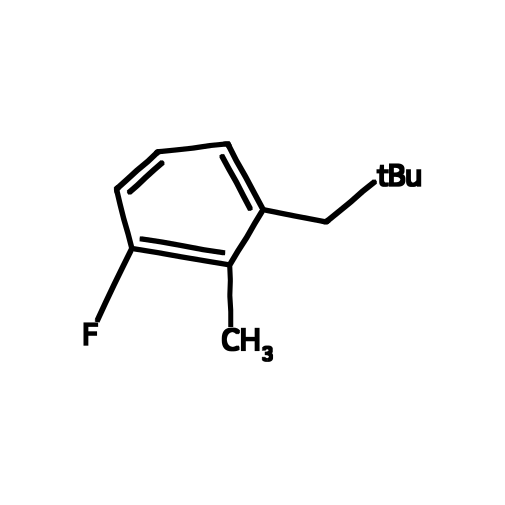 Cc1c(F)cccc1CC(C)(C)C